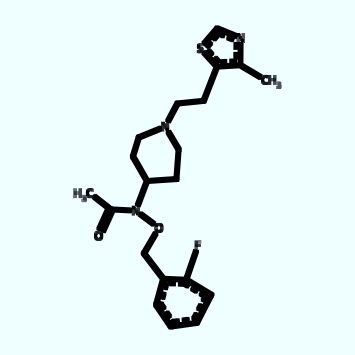 CC(=O)N(OCc1ccccc1F)C1CCN(CCc2scnc2C)CC1